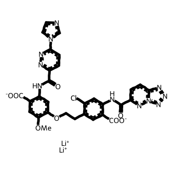 COc1cc(C(=O)[O-])c(NC(=O)c2ccc(-n3ccnc3)nn2)cc1OCCc1cc(C(=O)[O-])c(NC(=O)c2ccc3nnnn3n2)cc1Cl.[Li+].[Li+]